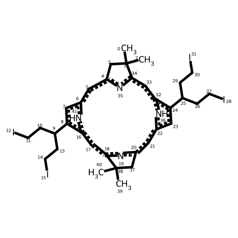 CC1(C)Cc2cc3cc(C(CCI)CCI)c(cc4nc(cc5cc(C(CCI)CCI)c(cc1n2)[nH]5)CC4(C)C)[nH]3